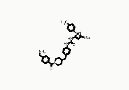 Cc1ccc(-n2nc(C(C)(C)C)cc2NC(=O)Nc2ccc(CC3CCN(C(=O)c4ccc(CN)cc4)CC3)cc2)cc1